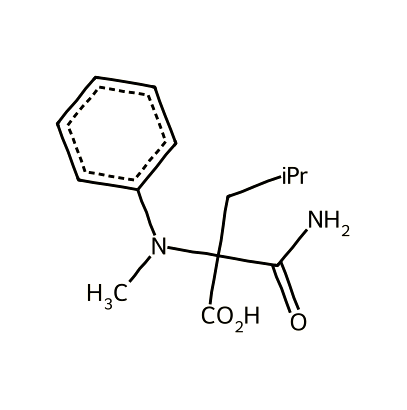 CC(C)CC(C(N)=O)(C(=O)O)N(C)c1ccccc1